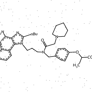 CCCCc1nc2c(N)nc3ccccc3c2n1CCCN(Cc1ccc(OC(C)C(=O)O)cc1)C(=O)CN1CCCCC1